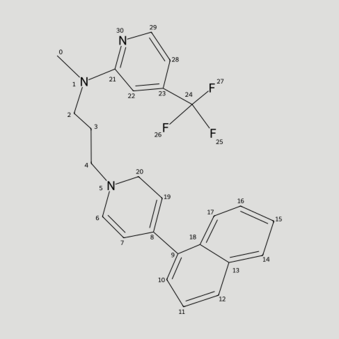 CN(CCCN1C=CC(c2cccc3ccccc23)=CC1)c1cc(C(F)(F)F)ccn1